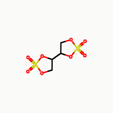 O=S1(=O)OCC(C2COS(=O)(=O)O2)O1